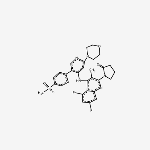 Cc1c(N2CCCC2=O)nc2cc(F)cc(F)c2c1Nc1cc(N2CCOCC2)ncc1-c1ccc(S(C)(=O)=O)cc1